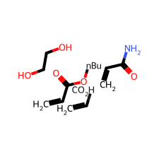 C=CC(=O)O.C=CC(=O)OCCCC.C=CC(N)=O.OCCO